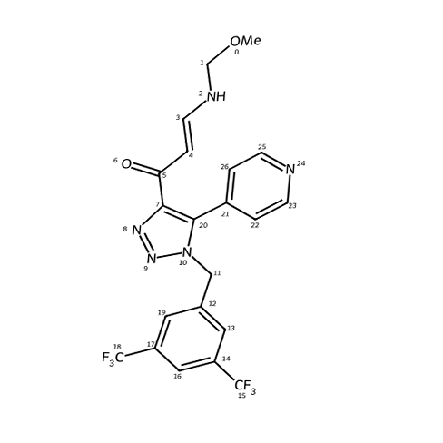 COCNC=CC(=O)c1nnn(Cc2cc(C(F)(F)F)cc(C(F)(F)F)c2)c1-c1ccncc1